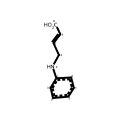 O=C(O)/C=C/CNc1ccccc1